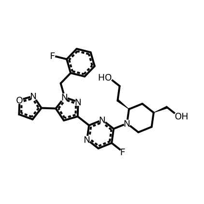 OCC[C@H]1C[C@@H](CO)CCN1c1nc(-c2cc(-c3ccon3)n(Cc3ccccc3F)n2)ncc1F